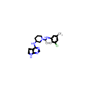 O=C[C@@H](Nc1cc(Cl)cc(C(F)(F)F)c1)N1CCCC(Nc2ncnc3[nH]ccc23)C1